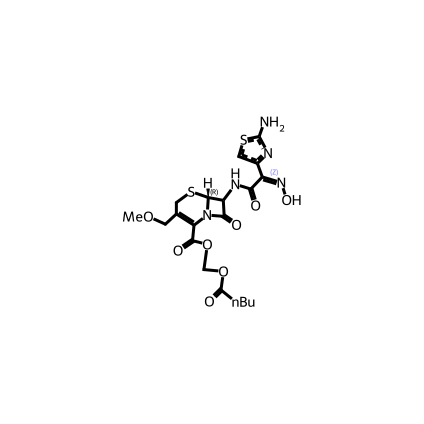 CCCCC(=O)OCOC(=O)C1=C(COC)CS[C@@H]2C(NC(=O)/C(=N\O)c3csc(N)n3)C(=O)N12